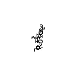 CC(C)Nc1nc2c(nc1N1CCN(Cc3ccc(F)cc3F)CC1)CCN(C[SH](=O)=O)C2